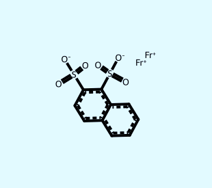 O=S(=O)([O-])c1ccc2ccccc2c1S(=O)(=O)[O-].[Fr+].[Fr+]